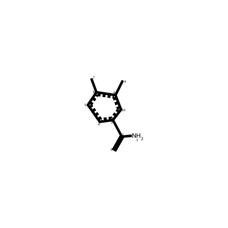 C=C(N)c1ccc(C)c(C)c1